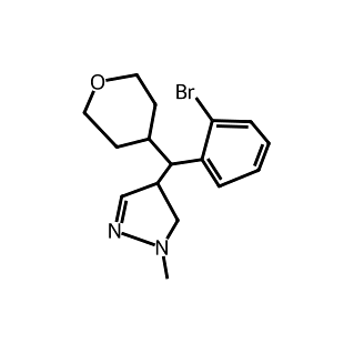 CN1CC(C(c2ccccc2Br)C2CCOCC2)C=N1